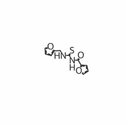 O=C(NC(=S)NCc1ccco1)c1ccco1